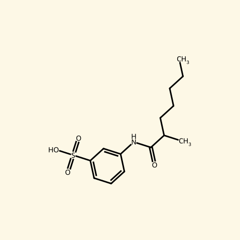 CCCCCC(C)C(=O)Nc1cccc(S(=O)(=O)O)c1